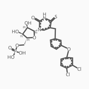 O=c1[nH]c(=S)c(Cc2cccc(Oc3ccc(Cl)c(Cl)c3)c2)cn1[C@@H]1O[C@H](COP(=O)(O)O)[C@@H](O)[C@H]1O